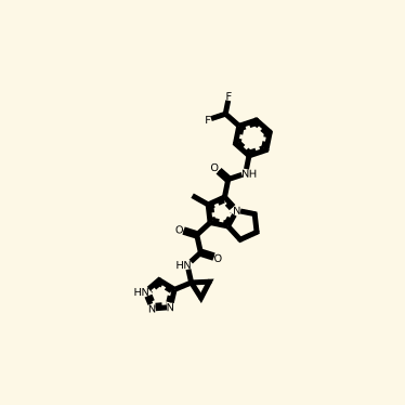 Cc1c(C(=O)C(=O)NC2(c3c[nH]nn3)CC2)c2n(c1C(=O)Nc1cccc(C(F)F)c1)CCC2